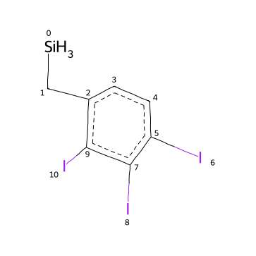 [SiH3]Cc1ccc(I)c(I)c1I